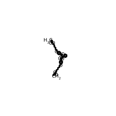 C=CC(=O)OCCCCCCOc1ccc(C(=O)OC(OC(=O)c2ccc(OCCCCCCOC(=O)C=C)cc2)c2ccccc2)cc1